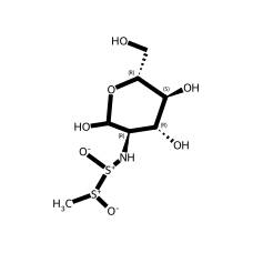 C[S+]([O-])[S+]([O-])N[C@H]1C(O)O[C@H](CO)[C@@H](O)[C@@H]1O